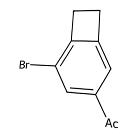 CC(=O)c1cc(Br)c2c(c1)CC2